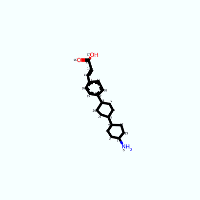 NC1CCC(C2CCC(c3ccc(C=CC(=O)O)cc3)CC2)CC1